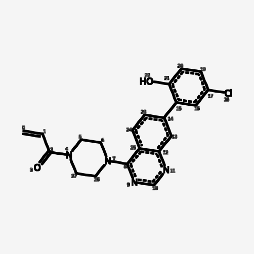 C=CC(=O)N1CCN(c2ncnc3cc(-c4cc(Cl)ccc4O)ccc23)CC1